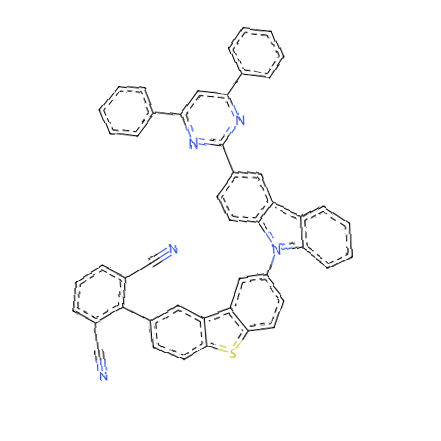 N#Cc1cccc(C#N)c1-c1ccc2sc3ccc(-n4c5ccccc5c5cc(-c6nc(-c7ccccc7)cc(-c7ccccc7)n6)ccc54)cc3c2c1